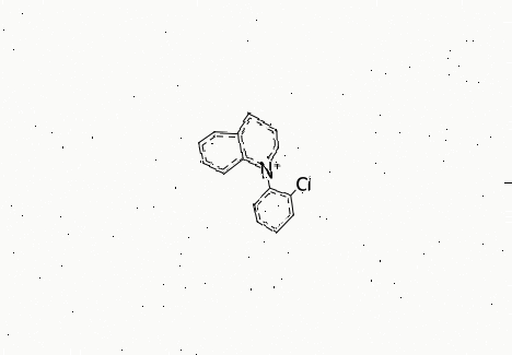 Clc1ccccc1-[n+]1cccc2ccccc21